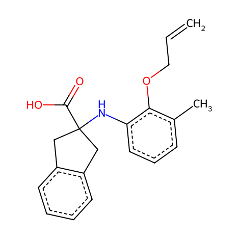 C=CCOc1c(C)cccc1NC1(C(=O)O)Cc2ccccc2C1